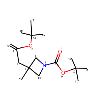 C=C(CC1(C)CN(C(=O)OC(C)(C)C)C1)OC(C)(C)C